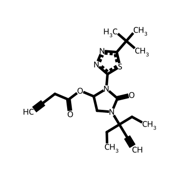 C#CCC(=O)OC1CN(C(C#C)(CC)CC)C(=O)N1c1nnc(C(C)(C)C)s1